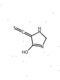 OC1=NCNC1=C=S